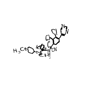 CN1CCC(N(C)C(=O)NC(C)(C#N)c2ccc(-c3cncnc3)c(Cl)c2Cl)CC1